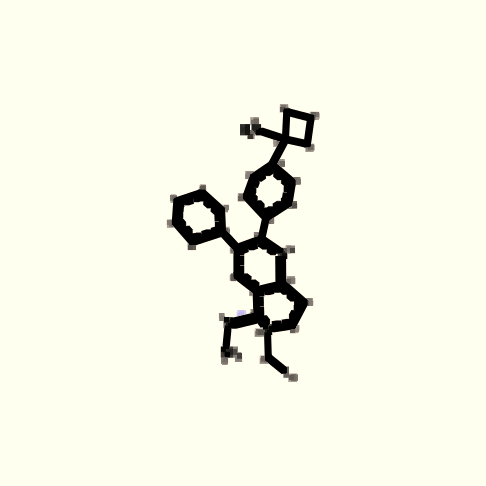 N/N=c1/c2cc(-c3ccccc3)c(-c3ccc(C4(N)CCC4)cc3)nc2ccn1CI